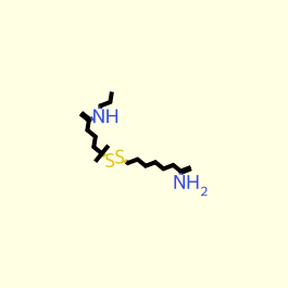 C=C(N)CCCCCCSSC(C)(C)CCCC(=C)NCCC